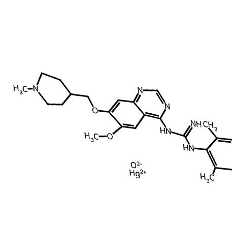 COc1cc2c(NC(=N)Nc3c(C)cccc3C)ncnc2cc1OCC1CCN(C)CC1.[Hg+2].[O-2]